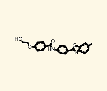 Cc1ccc2nc(-c3ccc(NC(=O)c4ccc(OCCO)cc4)cc3)sc2c1